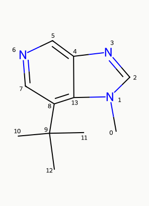 Cn1cnc2cncc(C(C)(C)C)c21